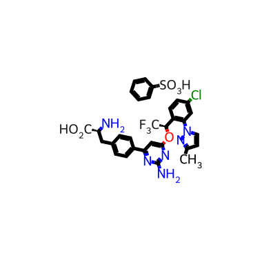 Cc1ccn(-c2cc(Cl)ccc2[C@@H](Oc2cc(-c3ccc(C[C@H](N)C(=O)O)cc3)nc(N)n2)C(F)(F)F)n1.O=S(=O)(O)c1ccccc1